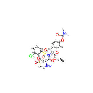 CN(C)C(=O)Oc1ccc(C[C@@H](C(=O)OC(C)(C)C)N(C(=O)C2CS(=O)(=O)CCN2)S(=O)(=O)c2cccc(Cl)c2)cc1